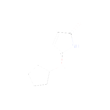 O=C1C=CC(OC2CCCC2)N1